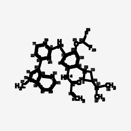 C=CC(=O)Nc1cc(Nc2nccc(-c3cn(C)c4cccnc34)n2)c(OC(F)F)cc1N1CC(N(C)C)C1